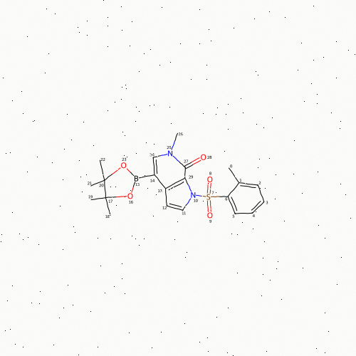 Cc1ccccc1S(=O)(=O)n1ccc2c(B3OC(C)(C)C(C)(C)O3)cn(C)c(=O)c21